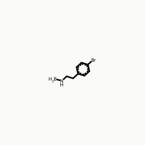 BNCCc1ccc(Br)cc1